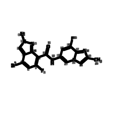 CCn1cc2c(Br)cc(F)c(C(=O)Nc3cc(F)c4nc(C)cn4c3)c2n1